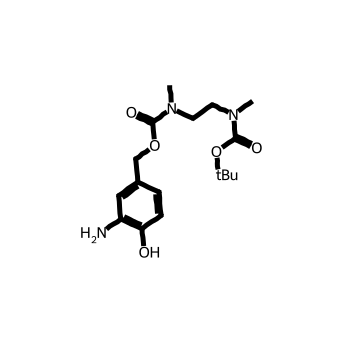 CN(CCN(C)C(=O)OC(C)(C)C)C(=O)OCc1ccc(O)c(N)c1